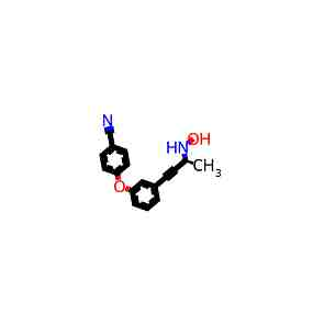 C[C@@H](C#Cc1cccc(Oc2ccc(C#N)cc2)c1)NO